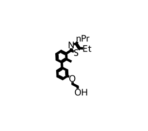 CCCc1nc(-c2cccc(-c3cccc(OCCO)c3)c2C)sc1CC